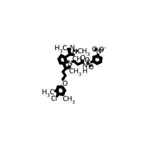 Cc1cc(OCCCc2c(C)n(CCC(=O)NS(=O)(=O)c3cccc([N+](=O)[O-])c3)c3c(-c4c(C)nn(C)c4C)cccc23)cc(C)c1Cl